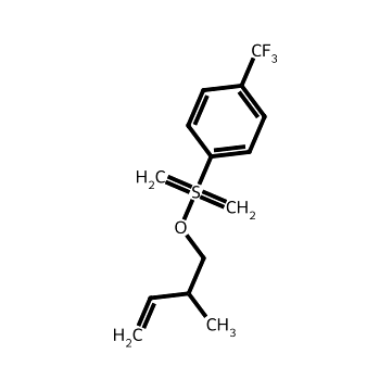 C=CC(C)COS(=C)(=C)c1ccc(C(F)(F)F)cc1